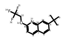 CC(C)(C)c1ccc2ccc(OCC(F)(F)F)nc2c1